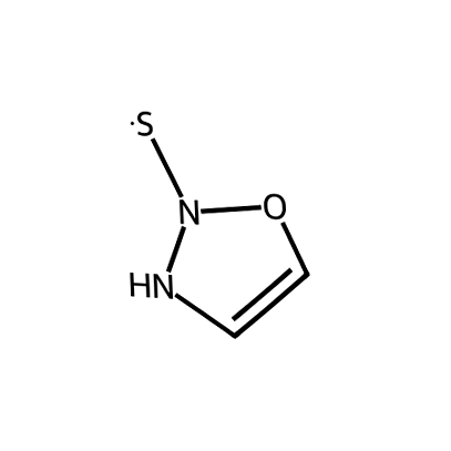 [S]N1NC=CO1